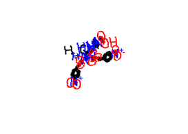 C[C@H](N/C(=N\C(=O)OCc1ccc([N+](=O)[O-])cc1)NC(=O)OCc1ccc([N+](=O)[O-])cc1)C(=O)NC1CN(C(=O)O)C1